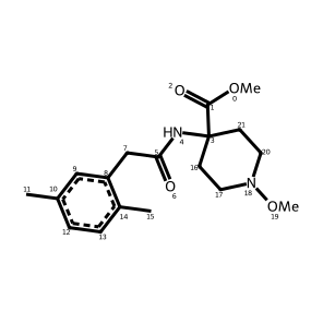 COC(=O)C1(NC(=O)Cc2cc(C)ccc2C)CCN(OC)CC1